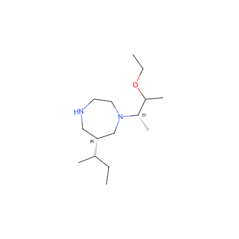 CCOC(C)[C@H](C)N1CCNC[C@@H](C(C)CC)C1